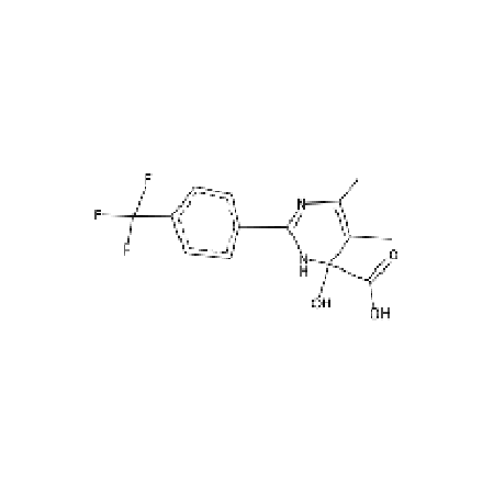 CC1=C(C)C(O)(C(=O)O)NC(c2ccc(C(F)(F)F)cc2)=N1